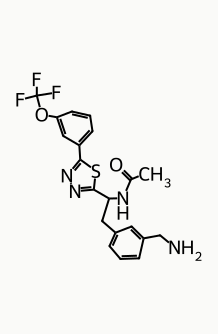 CC(=O)NC(Cc1cccc(CN)c1)c1nnc(-c2cccc(OC(F)(F)F)c2)s1